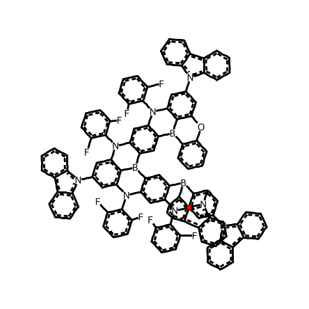 Fc1cccc(F)c1N1c2cc3c(cc2B2c4ccccc4Oc4cc(-n5c6ccccc6c6ccccc65)cc1c42)B1c2cc4c(cc2N(c2c(F)cccc2F)c2cc(-n5c6ccccc6c6ccccc65)cc(c21)N3c1c(F)cccc1F)N(c1c(F)cccc1F)c1cc(-n2c3ccccc3c3ccccc32)cc2c1B4c1cccc3c4ccccc4n-2c13